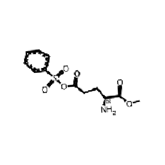 COC(=O)[C@@H](N)CCC(=O)OS(=O)(=O)c1ccccc1